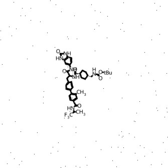 Cc1cc(C(=O)NC(C)C(F)(F)F)ccc1-c1ccc(CC(NC(=O)[C@H]2CC[C@H](CNC(=O)OC(C)(C)C)CC2)C(=O)Nc2ccc3[nH]c(=O)[nH]c3c2)cc1